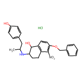 CC(Cc1ccc(O)cc1)NC1CCc2c(ccc(OCc3ccccc3)c2[N+](=O)[O-])C1O.Cl